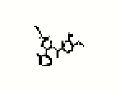 CCOC(=O)CC(NC(=O)c1ccc(OC)c(Br)n1)c1ccccc1C